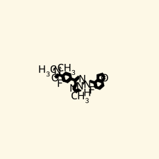 Cc1cn2c(NCc3c(F)ccc4c3CCO4)ncc(-c3ccc(C(=O)N(C)C)c(F)c3)c2n1